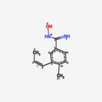 C/C=C\c1cc(C(=N)NO)ccc1C